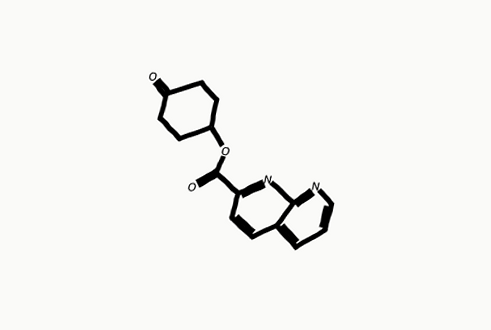 O=C1CCC(OC(=O)c2ccc3cccnc3n2)CC1